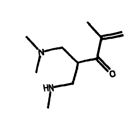 C=C(C)C(=O)C(CNC)CN(C)C